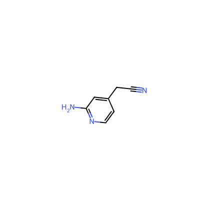 N#CCc1ccnc(N)c1